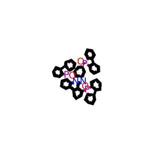 O=P1(c2ccc3c(c2)nc2c4c(P5(=O)c6ccccc6-c6ccccc65)cccc4c4cccc(P5(=O)c6ccccc6-c6ccccc65)c4n32)c2ccccc2-c2ccccc21